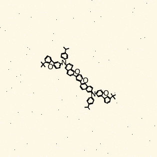 CC(C)c1ccc(N(c2ccc3c(ccc4c5cc6c(cc5oc34)oc3c4ccc(N(c5ccc(C(C)C)cc5)c5ccc7oc8c(C(C)(C)C)cccc8c7c5)cc4ccc63)c2)c2ccc3oc4c(C(C)(C)C)cccc4c3c2)cc1